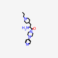 CCCN1CCC(CC(N)C(=O)N2CCN(c3ccncc3)CC2)CC1